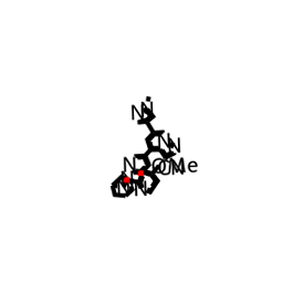 COc1ccnc(CN2C3CC2CN(c2ccc(-c4cc(-c5cnn(C)c5)cn5ncc(C#N)c45)cn2)C3)c1